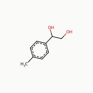 Cc1ccc(C(O)CO)cc1